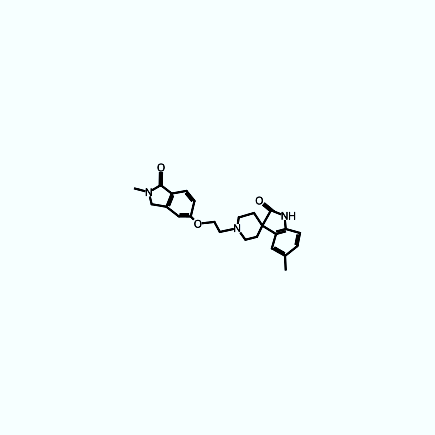 Cc1ccc2c(c1)C1(CCN(CCOc3ccc4c(c3)CN(C)C4=O)CC1)C(=O)N2